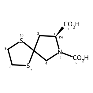 O=C(O)[C@@H]1CC2(CN1C(=O)O)SCCS2